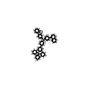 c1ccc(S(c2ccccc2)(c2ccccc2)c2ccc(-c3ccc(N(c4ccc(-c5cccc6ccccc56)cc4)c4ccc5c(c4)oc4ccccc45)cc3)cc2)cc1